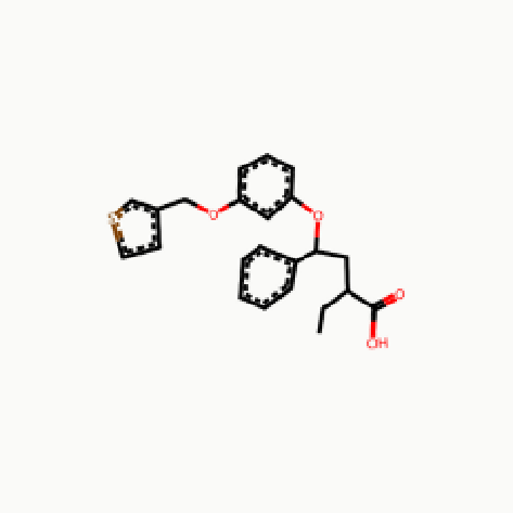 CCC(CC(Oc1cccc(OCc2ccsc2)c1)c1ccccc1)C(=O)O